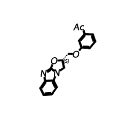 CC(=O)c1cccc(OC[C@@H]2Cn3c(nc4ccccc43)O2)c1